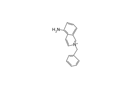 Nc1cccc2c[n+](Cc3ccccc3)ccc12